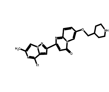 CCc1nc(C)cn2nc(-c3cc(=O)n4cc(OCC5CCNCC5)ccc4n3)cc12